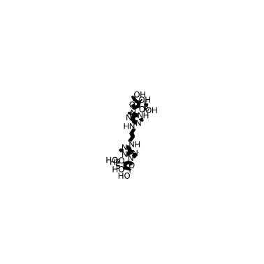 OCC1OC(n2cnc3c(NC/C=C/CNc4ncnc5c4ncn5C4O[C@H](CO)[C@@H](O)[C@H]4O[PH](O)=S)ncnc32)[C@H](O[PH](O)=S)[C@@H]1O